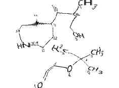 CC(C)(C)OC=O.CC(O)CC1CCNCC1